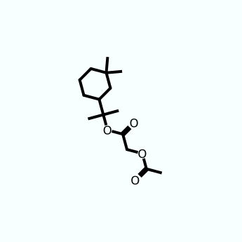 CC(=O)OCC(=O)OC(C)(C)C1CCCC(C)(C)C1